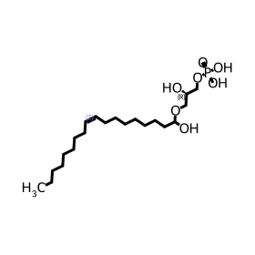 CCCCCCCC/C=C\CCCCCCCC(O)OC[C@@H](O)COP(=O)(O)O